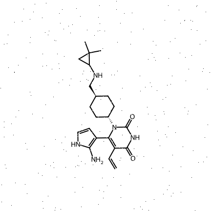 C=Cc1c(-c2cc[nH]c2N)n([C@H]2CC[C@H](CNC3CC3(C)C)CC2)c(=O)[nH]c1=O